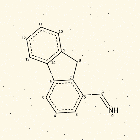 N=Cc1cccc2c1Cc1ccccc1-2